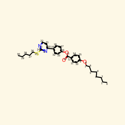 CCCCCCCCOc1ccc(C(=O)Oc2ccc(-c3ccnc(SCCCCC)n3)cc2)cc1